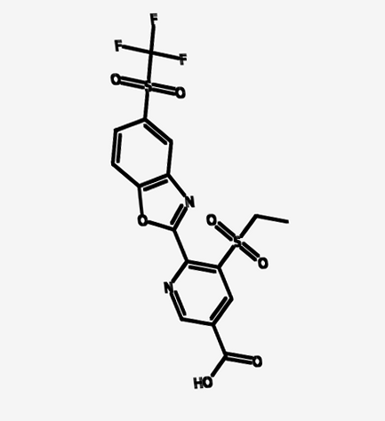 CCS(=O)(=O)c1cc(C(=O)O)cnc1-c1nc2cc(S(=O)(=O)C(F)(F)F)ccc2o1